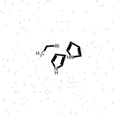 C[CH2][Al].c1cc[nH]c1.c1cc[nH]c1